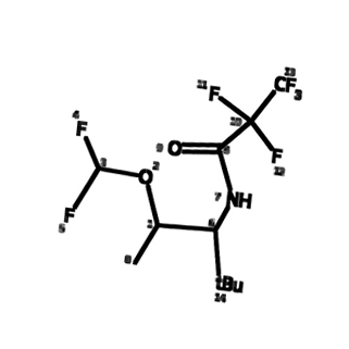 CC(OC(F)F)C(NC(=O)C(F)(F)C(F)(F)F)C(C)(C)C